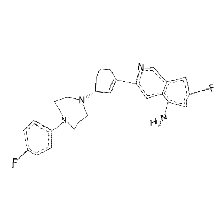 Nc1cc(F)cc2cnc(C3=C[C@H](N4CCN(c5ccc(F)cc5)CC4)CC3)cc12